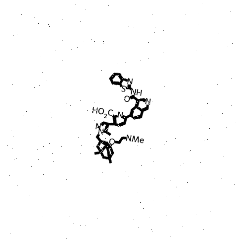 CNCCOC12CC3(C)CC(C)(CC(Cn4ncc(-c5ccc(-c6ccc7cncc(C(=O)Nc8nc9ccccc9s8)c7c6)nc5C(=O)O)c4C)(C3)C1)C2